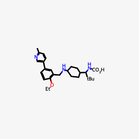 CCOc1ccc(-c2ccc(C)nc2)cc1CNC1CCC(C(NC(=O)O)C(C)(C)C)CC1